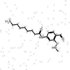 CNSc1cc(NC(=O)CCCCCCCN)ccc1C=O